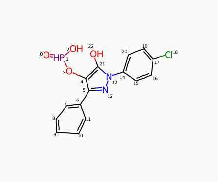 O=[PH](O)Oc1c(-c2ccccc2)nn(-c2ccc(Cl)cc2)c1O